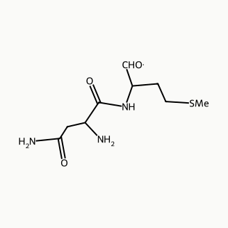 CSCCC([C]=O)NC(=O)C(N)CC(N)=O